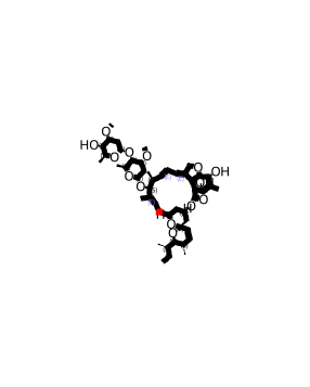 CC[C@H](C)[C@H]1O[C@]2(C=C[C@@H]1C)C[C@@H]1C[C@@H](C/C=C(\C)[C@@H](O[C@H]3C[C@H](OC)[C@@H](O[C@H]4C[C@H](OC)[C@@H](O)[C@H](C)O4)[C@H](C)O3)[C@@H](C)/C=C/C=C3\COC4[C@H](O)C(C)=C[C@@H](C(=O)O1)[C@]34O)O2